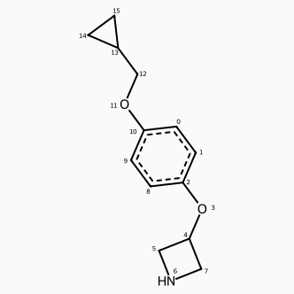 c1cc(OC2CNC2)ccc1OCC1CC1